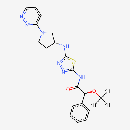 [2H]C([2H])([2H])O[C@H](C(=O)Nc1nnc(N[C@@H]2CCN(c3cccnn3)C2)s1)c1ccccc1